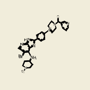 CCN1CCC(Nc2c(Br)cnc3[nH]c(-c4ccc(N5CCN(C(=O)c6cccnc6)CC5)cc4)nc23)CC1